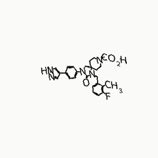 Cc1c(F)cccc1CN1C(=O)N(c2ccc(-c3cn[nH]c3)cc2)CC12CCN(C(=O)O)CC2